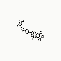 CS(=O)(=O)CC(=O)N1CC(F)(c2ccc(C3=COC(c4cc(Cl)c(Cl)c(Cl)c4)(C(F)(F)F)C3)cc2)C1